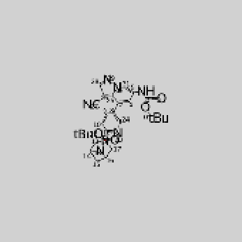 CC(C)(C)OC(=O)Nc1cc(-c2ccc(N3CC4CC(C3)N4C(=O)OC(C)(C)C)nc2)c2c(C#N)cnn2c1